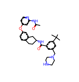 CC(=O)Nc1cc(Oc2ccc3c(c2)CC(NC(=O)c2cc(CN4CCNCC4)cc(C(C)(C)C)c2)CC3)ccn1